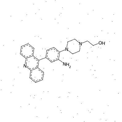 Nc1cc(-c2c3ccccc3nc3ccccc23)ccc1N1CCN(CCO)CC1